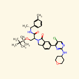 Cc1cccc([C@@H](C)NC(=O)C(CO[Si](C)(C)C(C)(C)C)N2Cc3ccc(-c4nc(NC5CCOCC5)ncc4Cl)cc3C2=O)c1